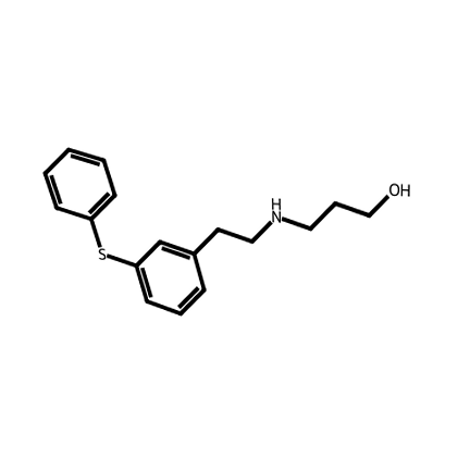 OCCCNCCc1cccc(Sc2ccccc2)c1